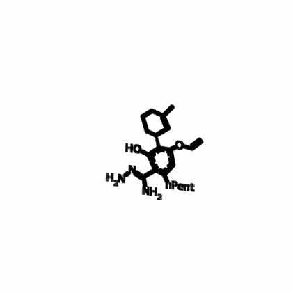 C=COc1cc(CCCCC)c(/C(N)=N/N)c(O)c1[C@@H]1C=C(C)CCC1